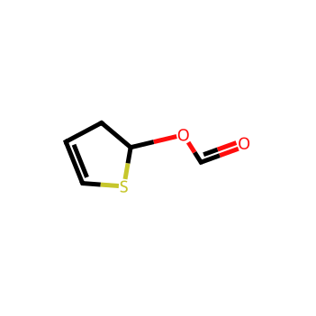 O=COC1CC=CS1